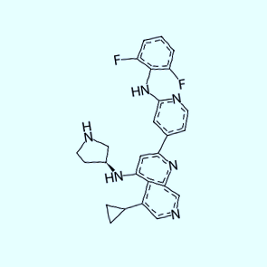 Fc1cccc(F)c1Nc1cc(-c2cc(N[C@H]3CCNC3)c3c(C4CC4)cncc3n2)ccn1